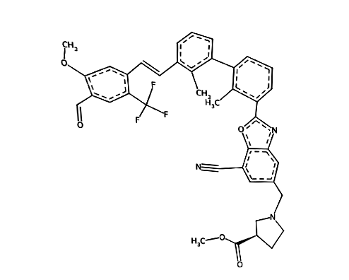 COC(=O)[C@@H]1CCN(Cc2cc(C#N)c3oc(-c4cccc(-c5cccc(/C=C/c6cc(OC)c(C=O)cc6C(F)(F)F)c5C)c4C)nc3c2)C1